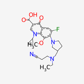 CCN(CCC#N)CC1CCN(c2c(F)cc3c(=O)c(C(=O)O)cn(C4CC4)c3c2OC)C1